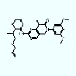 C=CCOCN(C)C1CCCCC1Nc1ncc2c(n1)N(C)C(=O)N(c1cc(OC)cc(OC)c1)C2